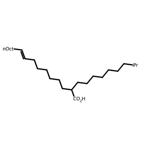 CCCCCCCCC=CCCCCCCC(CCCCCCCC(C)C)C(=O)O